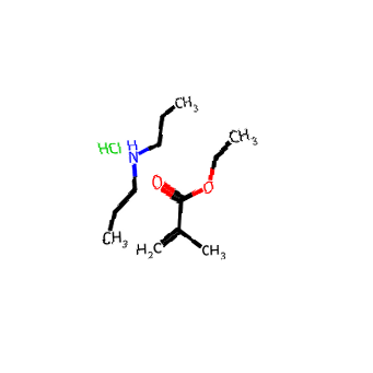 C=C(C)C(=O)OCC.CCCNCCC.Cl